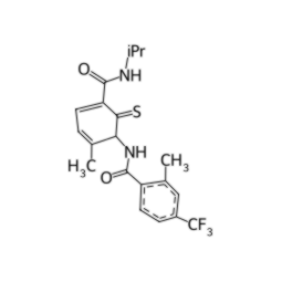 CC1=CC=C(C(=O)NC(C)C)C(=S)C1NC(=O)c1ccc(C(F)(F)F)cc1C